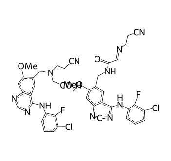 COc1cc2ncnc(Nc3cccc(Cl)c3F)c2cc1CN(CCC#N)CC(=O)O.COc1cc2ncnc(Nc3cccc(Cl)c3F)c2cc1CNC(=O)C=NCCC#N